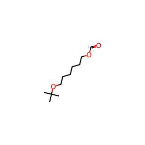 CC(C)(C)OCCCCCCO[C]=O